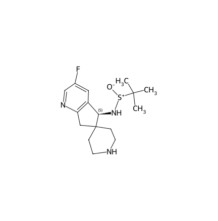 CC(C)(C)[S+]([O-])N[C@@H]1c2cc(F)cnc2CC12CCNCC2